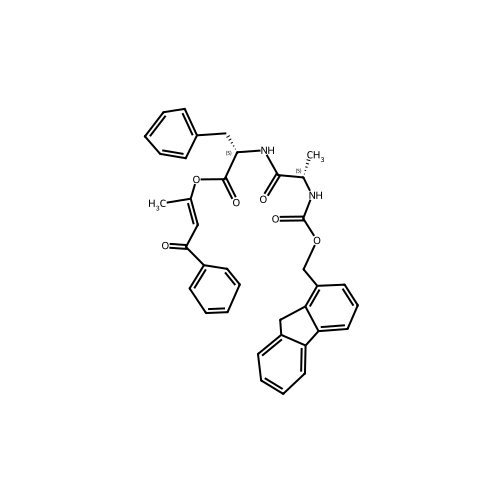 CC(=CC(=O)c1ccccc1)OC(=O)[C@H](Cc1ccccc1)NC(=O)[C@H](C)NC(=O)OCc1cccc2c1Cc1ccccc1-2